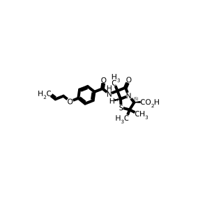 C=CCOc1ccc(C(=O)NC2(C)C(=O)N3[C@@H](C(=O)O)C(C)(C)S[C@@H]32)cc1